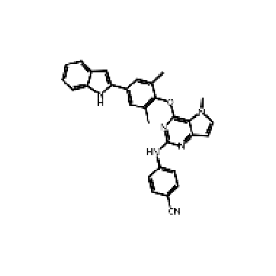 Cc1cc(-c2cc3ccccc3[nH]2)cc(C)c1Oc1nc(Nc2ccc(C#N)cc2)nc2ccn(C)c12